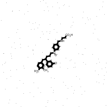 Cc1ccc(CC(CCC[S+]([O-])c2ccc(CNCCC(=O)O)cc2)c2cccc(Cl)c2)cc1C